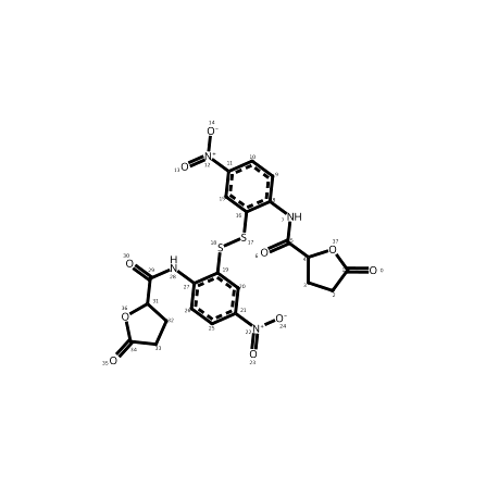 O=C1CCC(C(=O)Nc2ccc([N+](=O)[O-])cc2SSc2cc([N+](=O)[O-])ccc2NC(=O)C2CCC(=O)O2)O1